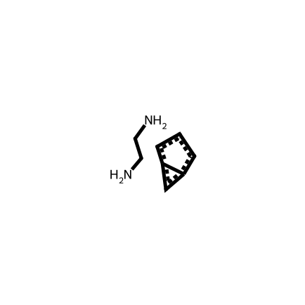 NCCN.c1cc2cc-2c1